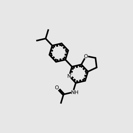 CC(=O)Nc1cc2c(c(-c3ccc(C(C)C)cc3)n1)OCC2